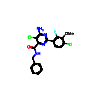 COc1c(Cl)ccc(-c2nc(N)c(Cl)c(C(=O)NCc3ccccc3)n2)c1F